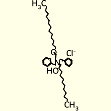 CCCCCCCCCCCCCCOCC[N+](Cc1ccccc1)(Cc1ccccc1)CC(O)CCCCCCCCCC.[Cl-]